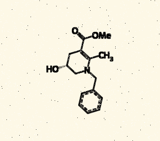 COC(=O)C1=C(C)N(Cc2ccccc2)C[C@H](O)C1